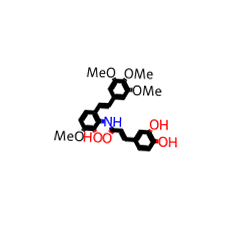 COc1ccc(/C=C/c2cc(OC)c(OC)c(OC)c2)c(NC(=O)/C=C/c2ccc(O)c(O)c2)c1O